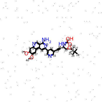 COc1cc2ncc3c(N)nc(-c4cncc(C#C[C@H](CO[Si](C)(C)C(C)(C)C)NC(=O)O)c4)cc3c2cc1OC